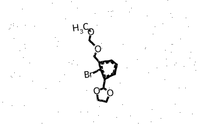 COCOCc1cccc(C2OCCO2)c1Br